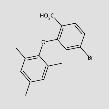 Cc1cc(C)c(Oc2cc(Br)ccc2C(=O)O)c(C)c1